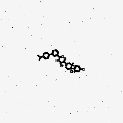 CC(C)[C@@H](NC(=O)c1cccc(-c2ccc(N(C)C)cc2)c1)C(=O)N1CC[C@](O)(c2ccc(Cl)cc2)C(C)(C)C1